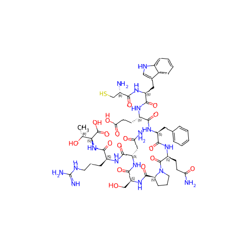 C[C@@H](O)[C@H](NC(=O)[C@H](CCCNC(=N)N)NC(=O)[C@H](CC(N)=O)NC(=O)[C@H](CO)NC(=O)[C@@H]1CCCN1C(=O)[C@H](CCC(N)=O)NC(=O)[C@H](Cc1ccccc1)NC(=O)[C@H](CCC(=O)O)NC(=O)[C@H](Cc1c[nH]c2ccccc12)NC(=O)[C@@H](N)CS)C(=O)O